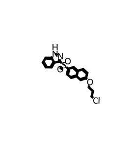 O=S(=O)(c1ccc2cc(OCCCCl)ccc2c1)c1n[nH]c2ccccc12